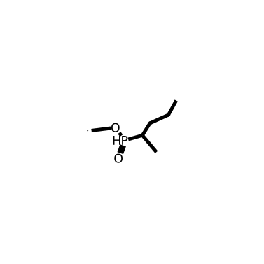 [CH2]O[PH](=O)C(C)CCC